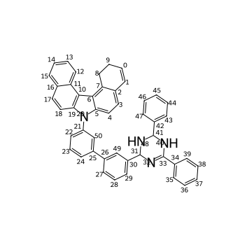 C1=Cc2ccc3c(c2CC1)c1c2ccccc2ccc1n3-c1cccc(-c2cccc(C3N=C(c4ccccc4)NC(c4ccccc4)N3)c2)c1